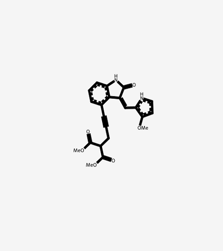 COC(=O)C(CC#Cc1cccc2c1/C(=C/c1[nH]ccc1OC)C(=O)N2)C(=O)OC